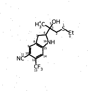 CCSCC(C)(O)C1Cc2cc(C#N)c(C(F)(F)F)cc2N1